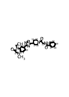 CCN1C(=O)CN(C)c2ccc(-c3noc(C4CCN(C(=O)CNC(=O)c5ccccc5)CC4)n3)cc21